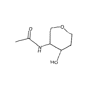 CC(=O)NC1COCCC1O